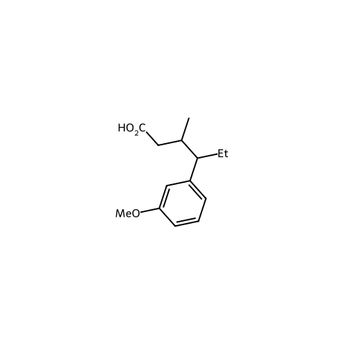 CCC(c1cccc(OC)c1)C(C)CC(=O)O